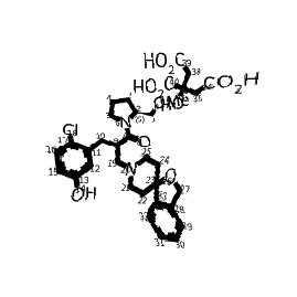 COC[C@@H]1CCCN1C(=O)C(Cc1cc(O)ccc1Cl)CN1CCC2(CC1)OCc1ccccc12.O=C(O)CC(O)(CC(=O)O)C(=O)O